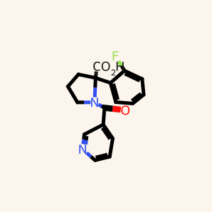 O=C(c1cccnc1)N1CCCC1(C(=O)O)c1ccccc1F